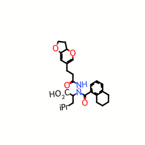 CC(C)CC(C(=O)O)N(NC(=O)CCC1=COC2CCOC2=C1)C(=O)c1cccc2c1CCCC2